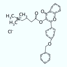 C[N+](C)(C)CCCC(=O)Oc1c(-c2ccc(OCc3ccccc3)cc2)oc2ccccc2c1=O.[Cl-]